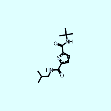 CC(C)CNC(=O)c1ccc(C(=O)NC(C)(C)C)s1